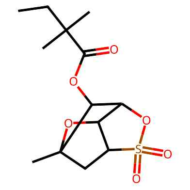 CCC(C)(C)C(=O)OC1C2OS(=O)(=O)C3CC1(C)OC23